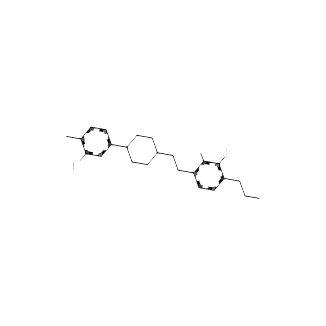 CCCc1ccc(CCC2CCC(c3ccc(C)c(F)c3)CC2)c(F)c1F